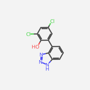 Oc1c(Cl)cc(Cl)cc1-c1cccc2[nH]nnc12